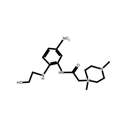 CN1CC[N+](C)(CC(=O)Nc2cc([N+](=O)[O-])ccc2NCCO)CC1